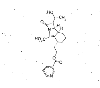 C[C@@H](O)[C@H]1C(=O)N2C(C(=O)O)=C3[C@@H](CCOC(=O)c4cccnc4)CCC[C@@H]3[C@H]12